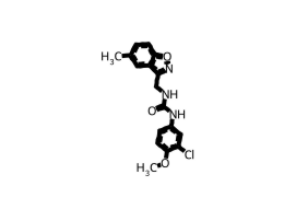 COc1ccc(NC(=O)NCc2noc3ccc(C)cc23)cc1Cl